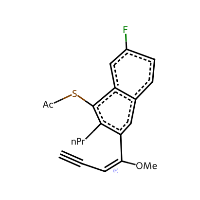 C#C/C=C(/OC)c1cc2ccc(F)cc2c(SC(C)=O)c1CCC